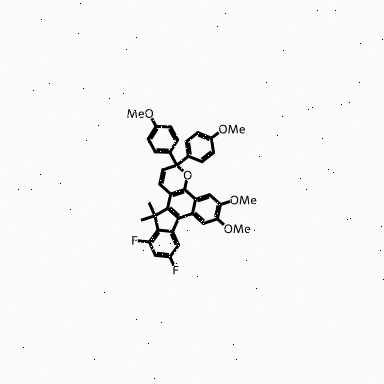 COc1ccc(C2(c3ccc(OC)cc3)C=Cc3c4c(c5cc(OC)c(OC)cc5c3O2)-c2cc(F)cc(F)c2C4(C)C)cc1